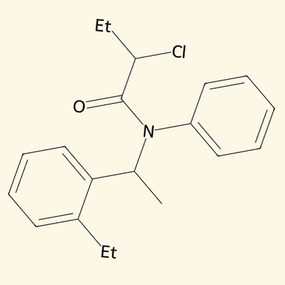 CCc1ccccc1C(C)N(C(=O)C(Cl)CC)c1ccccc1